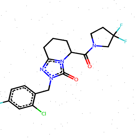 O=C(C1CCCc2nn(Cc3ccc(F)cc3Cl)c(=O)n21)N1CCC(F)(F)C1